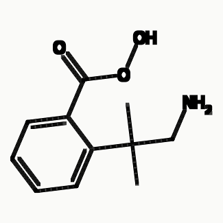 CC(C)(CN)c1ccccc1C(=O)OO